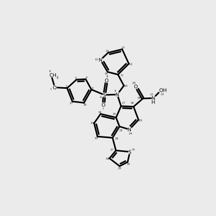 COc1ccc(S(=O)(=O)N(Cc2cccnc2)c2c(C(=O)NO)cnc3c(-c4cccs4)cccc23)cc1